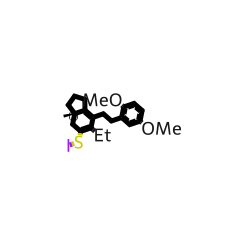 CCC1=C(SI)C[C@]2(C)CCCC2=C1CCc1cc(OC)ccc1OC